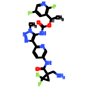 C[C@@H](OC(=O)Nc1c(-c2ccc(NC(=O)C3(CN)CC3(F)F)cn2)nnn1C)c1cc(F)cnc1F